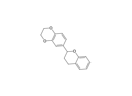 [c]1ccc2c(c1)OC(c1ccc3c(c1)OCCO3)CC2